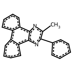 Cc1nc2c3ccccc3c3ccccc3c2nc1-c1ccccc1